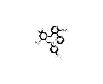 C[C@@H]1CC(F)(F)CN(Cc2ccnc(C=O)c2-c2ncccn2)[C@@H]1CNc1ccc(C(F)(F)F)cn1